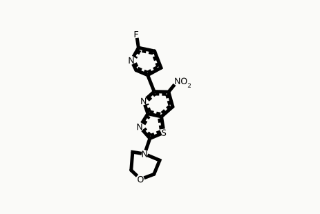 O=[N+]([O-])c1cc2sc(N3CCOCC3)nc2nc1-c1ccc(F)nc1